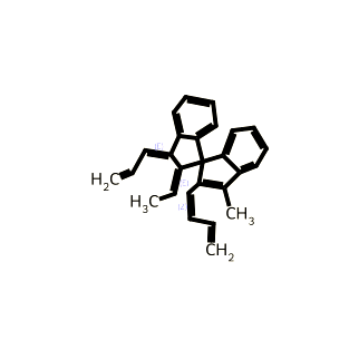 C=C/C=C\C1=C(C)c2ccccc2C12C(=C/C)/C(=C\C=C)c1ccccc12